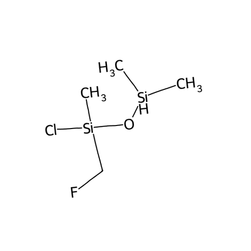 C[SiH](C)O[Si](C)(Cl)CF